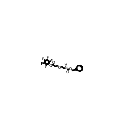 O=C(CCOCCNC(=O)OCC1C2CC#CCCC21)Oc1c(F)c(F)c(F)c(F)c1F